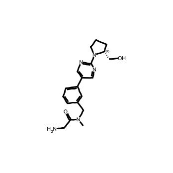 CN(Cc1cccc(-c2cnc(N3CCC[C@@H]3CO)nc2)c1)C(=O)CN